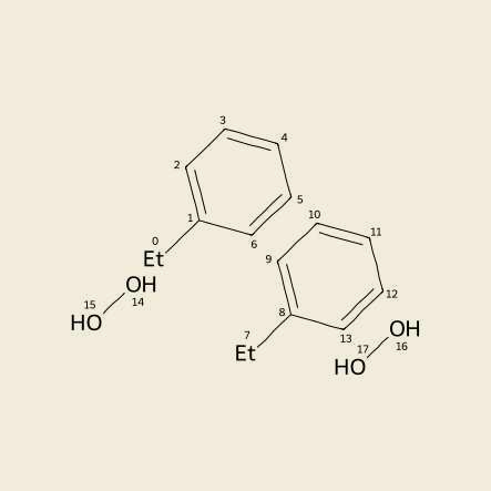 CCc1ccccc1.CCc1ccccc1.OO.OO